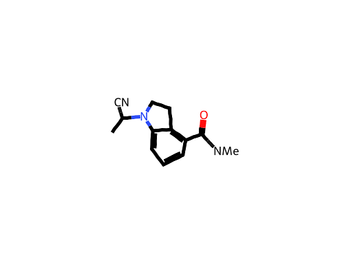 CNC(=O)c1cccc2c1CCN2C(C)C#N